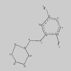 Fc1ccc(F)c(CCC2CCCCC2)c1